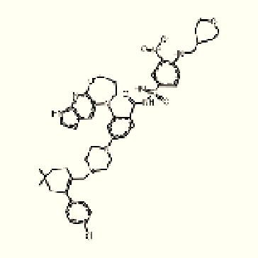 CC1(C)CCC(CN2CCN(c3ccc(C(=O)NS(=N)(=O)c4ccc(NCC5CCOCC5)c([N+](=O)[O-])c4)c(N4CCCOc5nc6[nH]ccc6cc54)c3)CC2)=C(c2ccc(Cl)cc2)C1